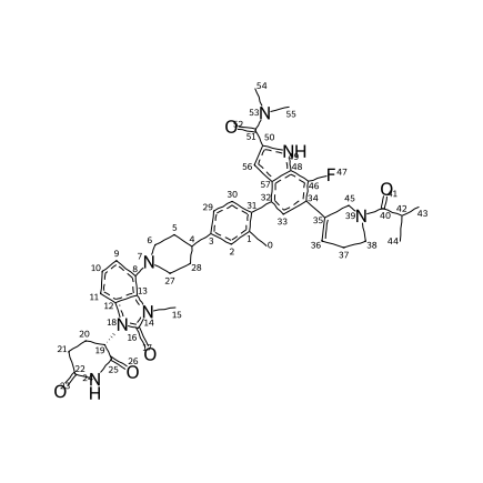 Cc1cc(C2CCN(c3cccc4c3n(C)c(=O)n4[C@H]3CCC(=O)NC3=O)CC2)ccc1-c1cc(C2=CCCN(C(=O)C(C)C)C2)c(F)c2[nH]c(C(=O)N(C)C)cc12